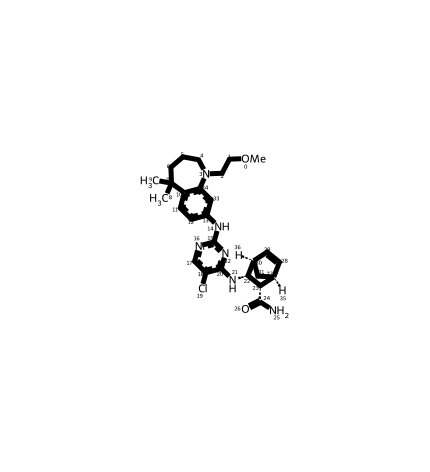 COCCN1CCCC(C)(C)c2ccc(Nc3ncc(Cl)c(N[C@H]4[C@@H](C(N)=O)[C@@H]5C=C[C@H]4C5)n3)cc21